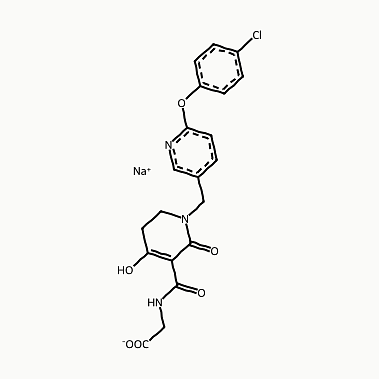 O=C([O-])CNC(=O)C1=C(O)CCN(Cc2ccc(Oc3ccc(Cl)cc3)nc2)C1=O.[Na+]